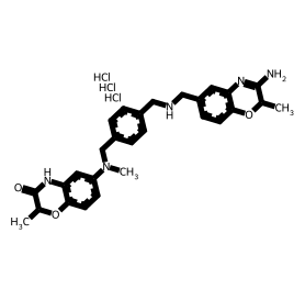 CC1Oc2ccc(N(C)Cc3ccc(CNCc4ccc5c(c4)N=C(N)C(C)O5)cc3)cc2NC1=O.Cl.Cl.Cl